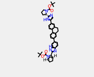 CC(C)(C)OC(=O)N1CCC[C@H]1c1ncc(-c2ccc3c(c2)CCc2cc(-c4ccc5nc(C6[C@H]7CC[C@H](C7)N6C(=O)OC(C)(C)C)[nH]c5c4)ccc2-3)[nH]1